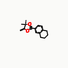 C=C1OB(c2ccc3c(c2)CCCC3)OC1(C)C